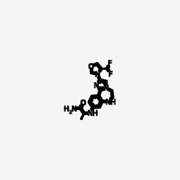 C[C@H](Nc1ccc2c(c1)NCCn1cc(N3COC[C@H]3C(F)F)nc1-2)C(N)=O